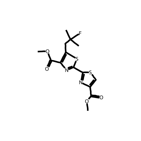 COC(=O)c1csc(-c2nc(C(=O)OC)c(CC(C)(C)F)s2)n1